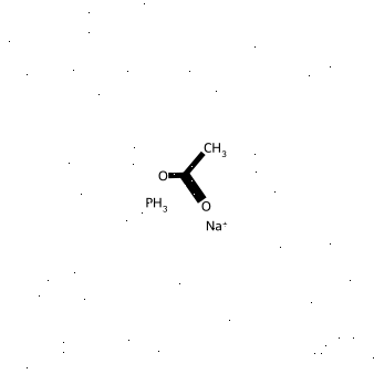 CC(=O)[O-].P.[Na+]